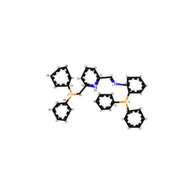 C(=N\c1ccccc1P(c1ccccc1)c1ccccc1)/c1cccc(CP(c2ccccc2)c2ccccc2)n1